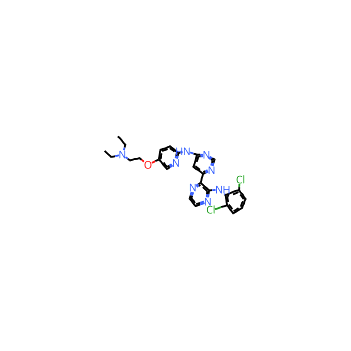 CCN(CC)CCOc1ccc(Nc2cc(-c3nccnc3Nc3c(Cl)cccc3Cl)ncn2)nc1